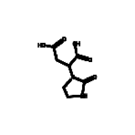 O=C(O)CC(C(=O)O)N1CCNC1=O